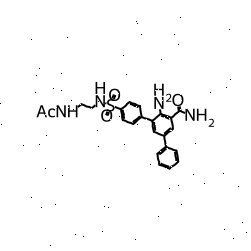 CC(=O)NCCNS(=O)(=O)c1ccc(-c2cc(-c3ccccc3)cc(C(N)=O)c2N)cc1